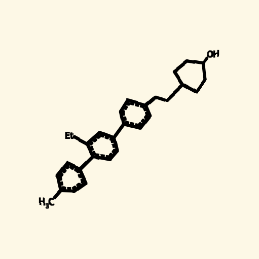 CCc1cc(-c2ccc(CCC3CCC(O)CC3)cc2)ccc1-c1ccc(C)cc1